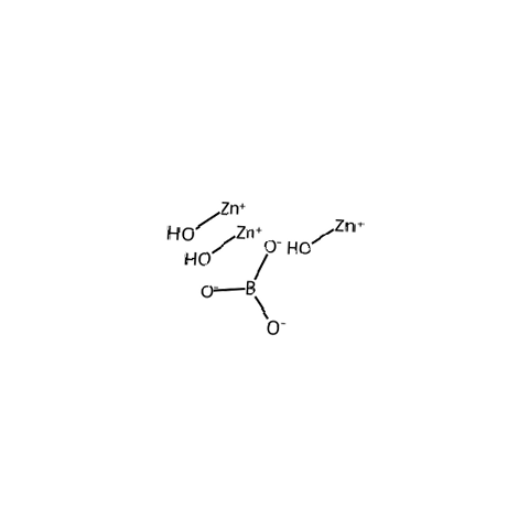 [O-]B([O-])[O-].[OH][Zn+].[OH][Zn+].[OH][Zn+]